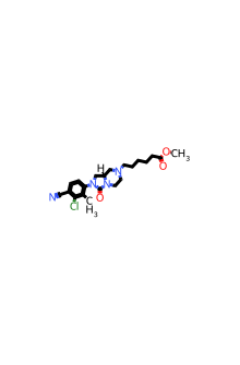 COC(=O)CCCCCN1CCN2C(=O)N(c3ccc(C#N)c(Cl)c3C)C[C@@H]2C1